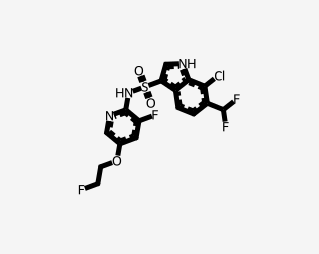 O=S(=O)(Nc1ncc(OCCF)cc1F)c1c[nH]c2c(Cl)c(C(F)F)ccc12